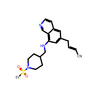 CCS(=O)(=O)N1CCC(CNc2cc(C/C=C/C#N)cc3ccncc23)CC1